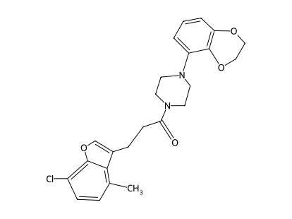 Cc1ccc(Cl)c2occ(CCC(=O)N3CCN(c4cccc5c4OCCO5)CC3)c12